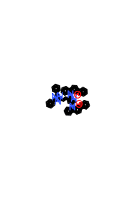 c1ccc(-c2nc(CCc3cc(-n4c5ccccc5c5ccc6c7ccccc7oc6c54)cnc3-n3c4ccccc4c4ccc5c6ccccc6oc5c43)nc(-c3ccccc3)n2)cc1